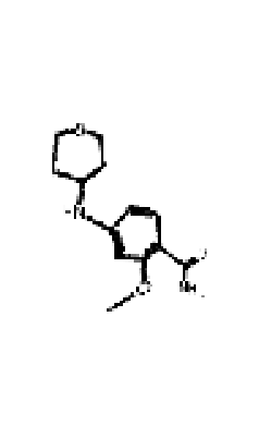 COc1cc(NC2CCOCC2)ccc1C(N)=O